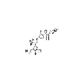 Cc1cc(C(/C=C/c2ccc(C(=O)NC3C[S+]([O-])C3)c(F)c2)C(F)(F)F)cc(Cl)c1F